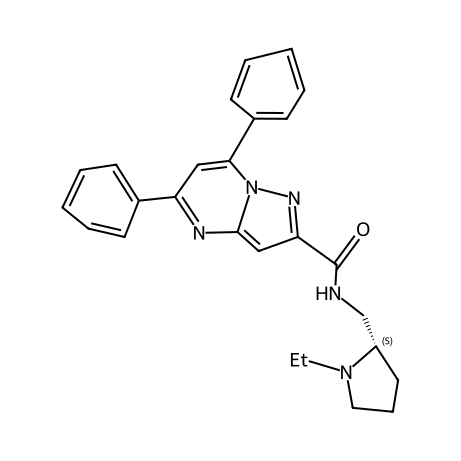 CCN1CCC[C@H]1CNC(=O)c1cc2nc(-c3ccccc3)cc(-c3ccccc3)n2n1